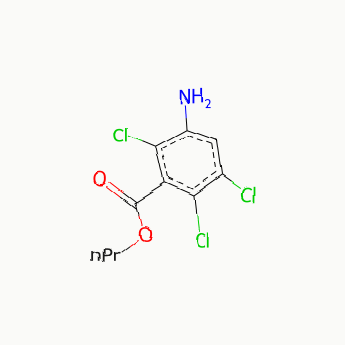 CCCOC(=O)c1c(Cl)c(N)cc(Cl)c1Cl